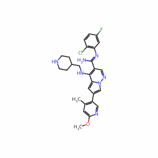 COc1cc(C)c(-c2cc3c(NCC4CCNCC4)c(/C(N)=N/c4cc(F)ccc4Cl)cnn3c2)cn1